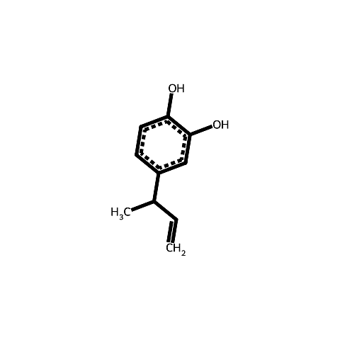 C=CC(C)c1ccc(O)c(O)c1